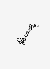 CO/N=C1/CCN(C(=O)C2CC=C(c3ccc(OCC4CCN(C(=O)OC(C)(C)C)CC4)cc3)CC2)C1